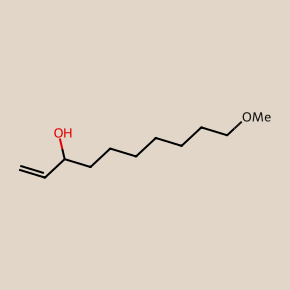 C=CC(O)CCCCCCCOC